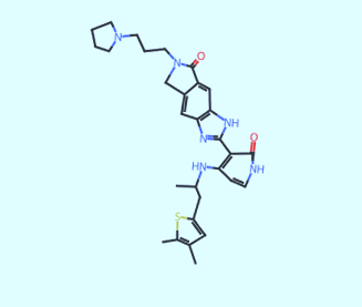 Cc1cc(CC(C)Nc2cc[nH]c(=O)c2-c2nc3cc4c(cc3[nH]2)C(=O)N(CCCN2CCCC2)C4)sc1C